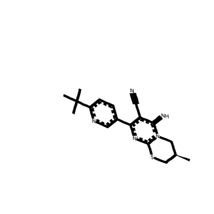 C[C@H]1CSc2nc(-c3ccc(C(C)(C)C)nc3)c(C#N)c(=N)n2C1